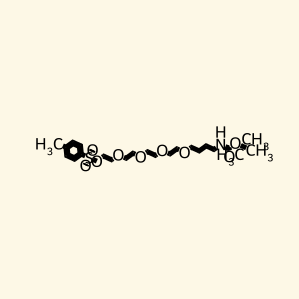 Cc1ccc(S(=O)(=O)OCCOCCOCCOCCOCCCCNC(=O)OC(C)(C)C)cc1